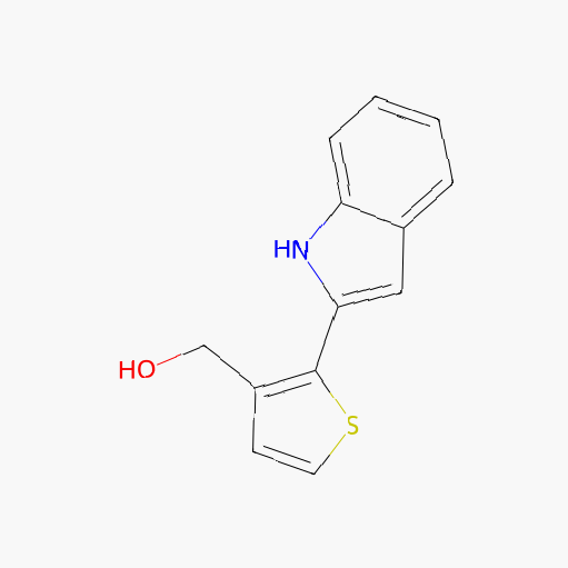 OCc1ccsc1-c1cc2ccccc2[nH]1